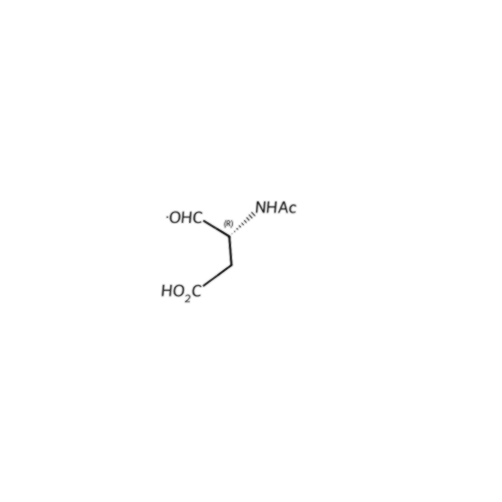 CC(=O)N[C@@H]([C]=O)CC(=O)O